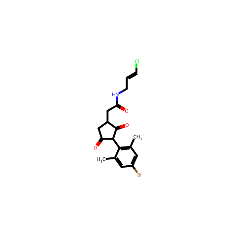 Cc1cc(Br)cc(C)c1C1C(=O)CC(CC(=O)NC/C=C/Cl)C1=O